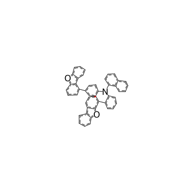 c1ccc(N(c2ccc(-c3cccc4oc5ccccc5c34)cc2)c2cccc3ccccc23)c(-c2cccc3c2oc2ccccc23)c1